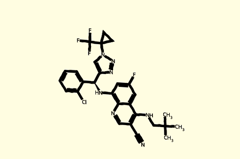 CC(C)(C)CNc1c(C#N)cnc2c(N[C@H](c3cn(C4(C(F)(F)F)CC4)nn3)c3ccccc3Cl)cc(F)cc12